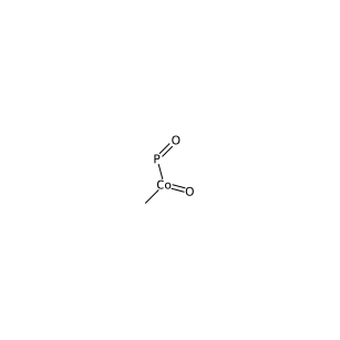 [CH3][Co](=[O])[P]=O